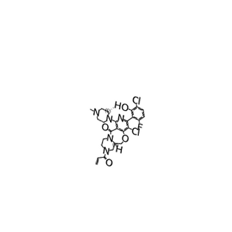 C=CC(=O)N1CCN2C(=O)c3c(N4CCN(C)C[C@@H]4C)nc(-c4c(F)ccc(Cl)c4O)c(Cl)c3OC[C@H]2C1